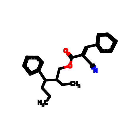 CCCC(c1ccccc1)C(CC)COC(=O)C(C#N)=Cc1ccccc1